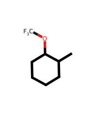 CC1CCCCC1OC(F)(F)F